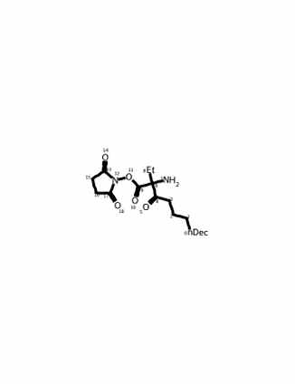 CCCCCCCCCCCCCC(=O)C(N)(CC)C(=O)ON1C(=O)CCC1=O